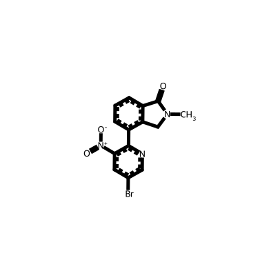 CN1Cc2c(cccc2-c2ncc(Br)cc2[N+](=O)[O-])C1=O